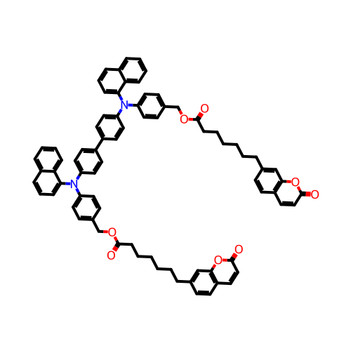 O=C(CCCCCCc1ccc2ccc(=O)oc2c1)OCc1ccc(N(c2ccc(-c3ccc(N(c4ccc(COC(=O)CCCCCCc5ccc6ccc(=O)oc6c5)cc4)c4cccc5ccccc45)cc3)cc2)c2cccc3ccccc23)cc1